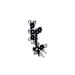 Cc1sc2c(c1C)C(c1ccc(Cl)cc1)=N[C@@H](CC(=O)NCCOCCNC(Cc1ccccc1)C(=O)N1C/C(=C\c3ccc(Cl)c(Cl)c3)C(=O)/C(=C/c3ccc(Cl)c(Cl)c3)C1)c1nnc(C)n1-2